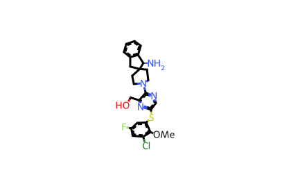 COc1c(Cl)cc(F)cc1Sc1cnc(N2CCC3(CC2)Cc2ccccc2[C@H]3N)c(CO)n1